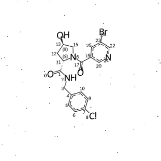 O=C(NCc1ccc(Cl)cc1)[C@@H]1C[C@@H](O)CN1C(=O)c1cncc(Br)c1